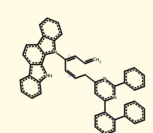 C=C/C=C(\C=C/Cc1cc(-c2ccccc2-c2ccccc2)nc(-c2ccccc2)n1)n1c2ccccc2c2ccc3c4ccccc4[nH]c3c21